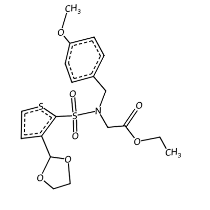 CCOC(=O)CN(Cc1ccc(OC)cc1)S(=O)(=O)c1sccc1C1OCCO1